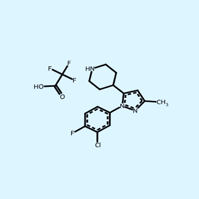 Cc1cc(C2CCNCC2)n(-c2ccc(F)c(Cl)c2)n1.O=C(O)C(F)(F)F